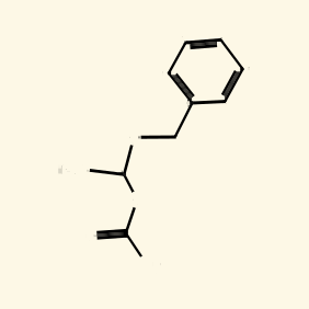 CC(C)COC(OCc1ccccc1)OC(=O)C(=O)O